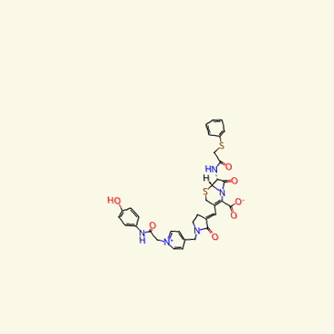 O=C(C[n+]1ccc(CN2CC/C(=C\C3=C(C(=O)[O-])N4C(=O)[C@@H](NC(=O)CSc5ccccc5)[C@H]4SC3)C2=O)cc1)Nc1ccc(O)cc1